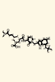 CN(C)C(=O)/C=C/CC[C@@H](CN(C)C(=O)O)C(=O)Nc1cncn(Cc2cc3cc(F)cc(CC(C)(C)C)c3[nH]2)c1=O